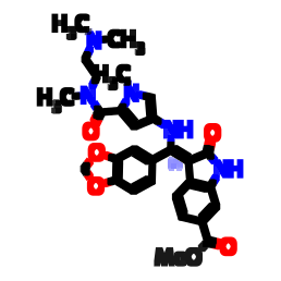 COC(=O)c1ccc2c(c1)NC(=O)/C2=C(\Nc1cc(C(=O)N(C)CCN(C)C)n(C)c1)c1ccc2c(c1)OCO2